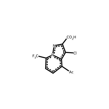 CC(=O)c1ccc(C(F)(F)F)n2nc(C(=O)O)c(Cl)c12